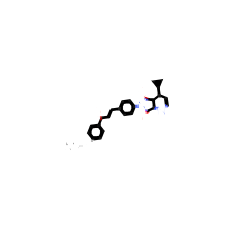 COc1ccc(C(=O)/C=C/c2ccc(N3C(=O)C4NC=CC(C5CC5)C4C3=O)cc2)cc1